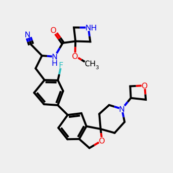 COC1(C(=O)NC(C#N)Cc2ccc(-c3ccc4c(c3)C3(CCN(C5COC5)CC3)OC4)cc2F)CNC1